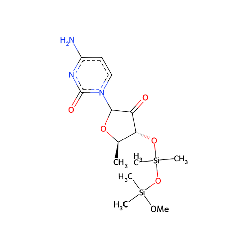 CO[Si](C)(C)O[Si](C)(C)O[C@H]1C(=O)C(n2ccc(N)nc2=O)O[C@@H]1C